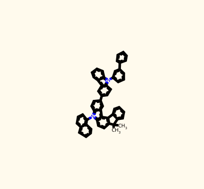 CC1(C)c2ccccc2-c2c1ccc1c2c2cc(-c3ccc4c(c3)c3ccccc3n4-c3cccc(-c4ccccc4)c3)ccc2n1-c1cccc2ccccc12